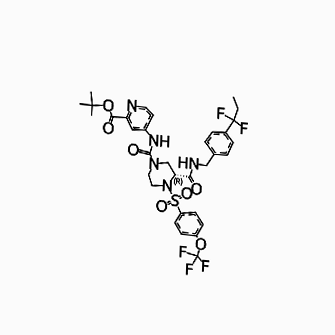 CCC(F)(F)c1ccc(CNC(=O)[C@H]2CN(C(=O)Nc3ccnc(C(=O)OC(C)(C)C)c3)CCN2S(=O)(=O)c2ccc(OC(F)(F)F)cc2)cc1